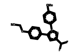 COc1ccc(-n2nc(C(F)F)cc2-c2ccc(OCC#N)cc2)cc1